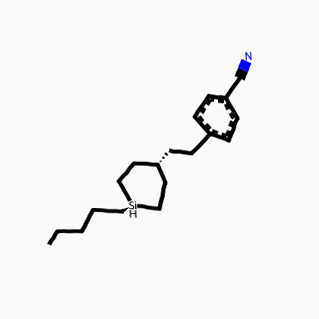 CCCCC[Si@H]1CC[C@H](CCc2ccc(C#N)cc2)CC1